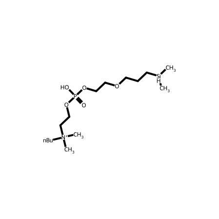 CCCC[N+](C)(C)CCOP(=O)(O)OCCOCCC[SiH](C)C